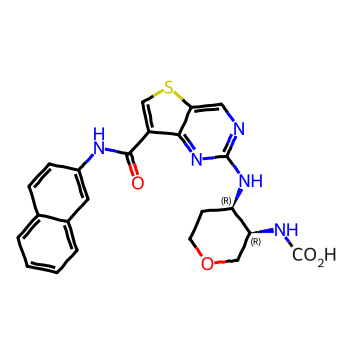 O=C(O)N[C@H]1COCC[C@H]1Nc1ncc2scc(C(=O)Nc3ccc4ccccc4c3)c2n1